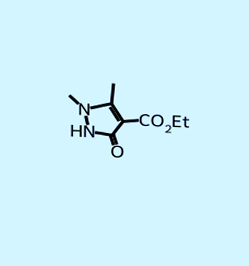 CCOC(=O)c1c(C)n(C)[nH]c1=O